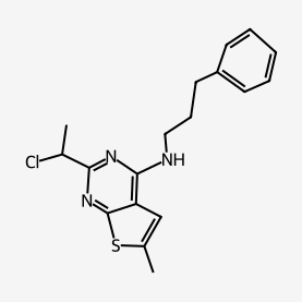 Cc1cc2c(NCCCc3ccccc3)nc(C(C)Cl)nc2s1